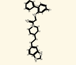 O=C(COc1cc(F)ccc1-c1ccccc1)N1CCC(CCc2ccc3c(c2)OCO3)CC1